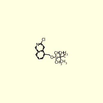 CC(C)(C)[Si](C)(C)OCc1cccc2cnc(Cl)cc12